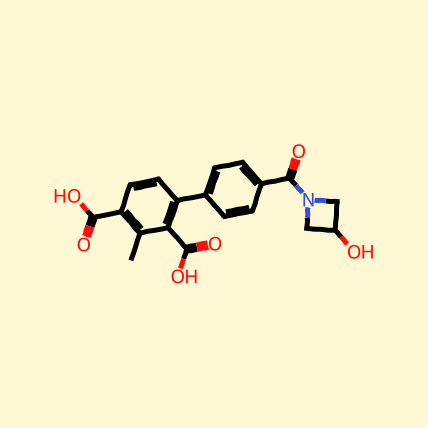 Cc1c(C(=O)O)ccc(-c2ccc(C(=O)N3CC(O)C3)cc2)c1C(=O)O